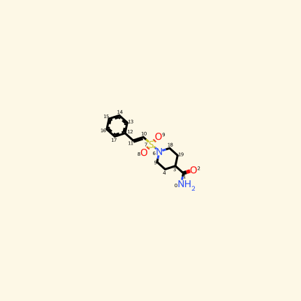 NC(=O)C1CCN(S(=O)(=O)/C=C/c2ccccc2)CC1